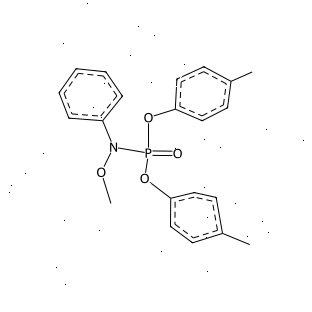 CON(c1ccccc1)P(=O)(Oc1ccc(C)cc1)Oc1ccc(C)cc1